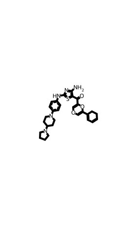 Nc1nc(Nc2ccc(N3CCC(N4CCCC4)CC3)cc2)sc1C(=O)C1=COC=C(C2=CC=CCC2)O1